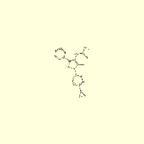 CC1=C(NC(N)=O)N(c2ccccc2)NC1c1cnc(C2CC2)nc1